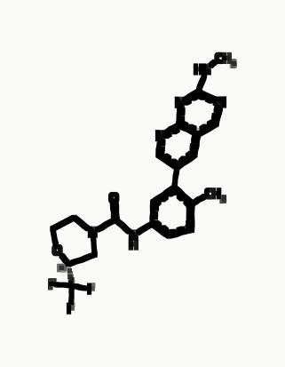 CNc1ncc2cc(-c3cc(NC(=O)N4CCO[C@@H](C(F)(F)F)C4)ccc3C)cnc2n1